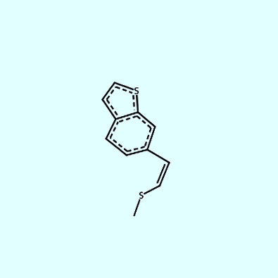 CS/C=C\c1ccc2ccsc2c1